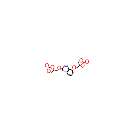 C=C(/C=C\c1c(C)cccc1OCC1COC(=O)O1)OCC1COC(=O)O1